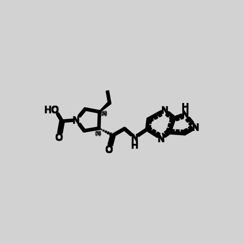 CC[C@@H]1CN(C(=O)O)C[C@H]1C(=O)CNc1cnc2[nH]ncc2n1